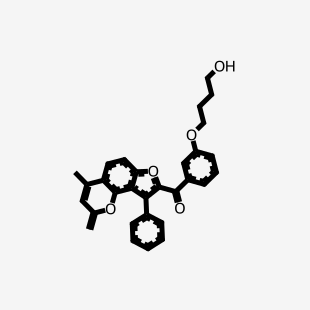 C=C1C=C(C)c2ccc3oc(C(=O)c4cccc(OCCCCO)c4)c(-c4ccccc4)c3c2O1